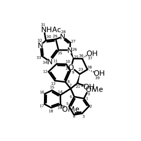 COc1ccccc1C(c1ccccc1)(c1ccccc1OC)C(O)[C@H]1O[C@@H](n2cnc3c(NC(C)=O)ncnc32)[C@H](O)[C@@H]1O